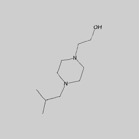 C[C](C)CN1CCN(CCO)CC1